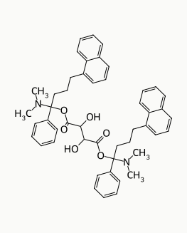 CN(C)C(CCCc1cccc2ccccc12)(OC(=O)C(O)C(O)C(=O)OC(CCCc1cccc2ccccc12)(c1ccccc1)N(C)C)c1ccccc1